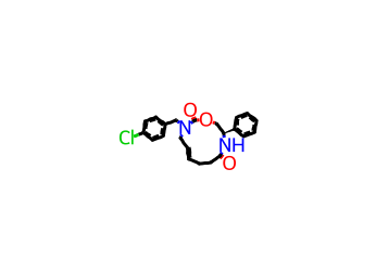 O=C1CC/C=C/CN(Cc2ccc(Cl)cc2)C(=O)OC[C@@H](c2ccccc2)N1